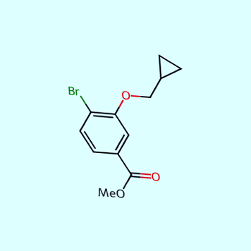 COC(=O)c1ccc(Br)c(OCC2CC2)c1